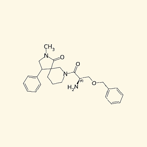 CN1CC(c2ccccc2)C2(CCCN(C(=O)[C@H](N)COCc3ccccc3)C2)C1=O